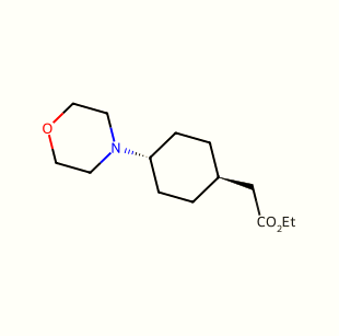 CCOC(=O)C[C@H]1CC[C@H](N2CCOCC2)CC1